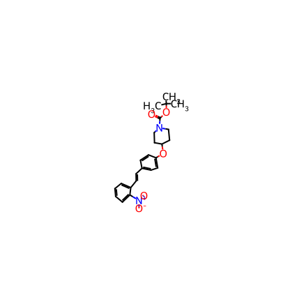 CC(C)(C)OC(=O)N1CCC(Oc2ccc(/C=C/c3ccccc3[N+](=O)[O-])cc2)CC1